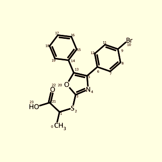 CC(Sc1nc(-c2ccc(Br)cc2)c(-c2ccccc2)o1)C(=O)O